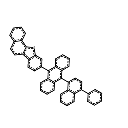 c1ccc(-c2ccc(-c3c4ccccc4c(-c4ccc5c(c4)sc4c6ccccc6ccc54)c4ccccc34)c3ccccc23)cc1